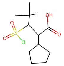 CC(C)(C)C(C(C(=O)O)C1CCCC1)S(=O)(=O)Cl